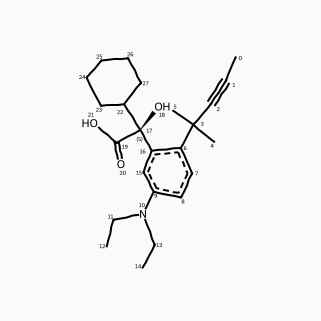 CC#CC(C)(C)c1ccc(N(CC)CC)cc1[C@](O)(C(=O)O)C1CCCCC1